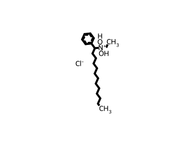 CCCCCCCCCCCCC(c1ccccc1)[N+](O)(O)CC.[Cl-]